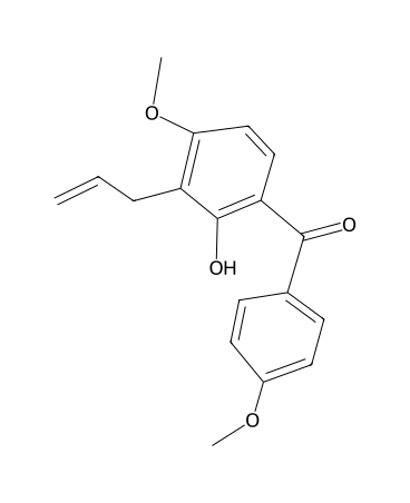 C=CCc1c(OC)ccc(C(=O)c2ccc(OC)cc2)c1O